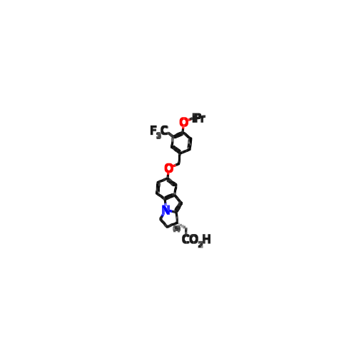 CC(C)Oc1ccc(COc2ccc3c(c2)cc2n3CC[C@H]2CC(=O)O)cc1C(F)(F)F